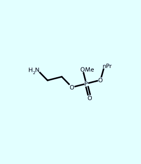 CCCOP(=O)(OC)OCCN